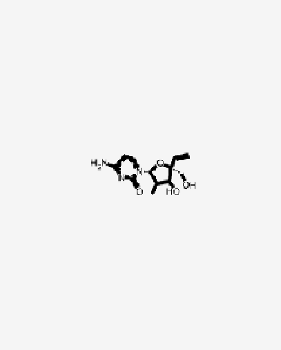 C=C[C@]1(CO)O[C@@H](n2ccc(N)nc2=O)C(C)C1O